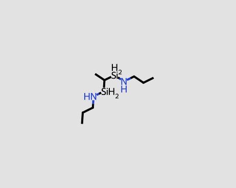 CCCN[SiH2]C(C)[SiH2]NCCC